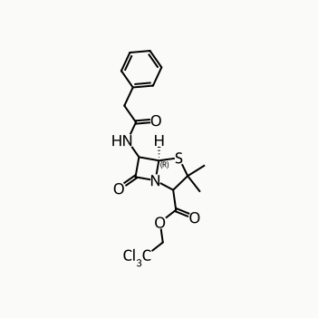 CC1(C)S[C@@H]2C(NC(=O)Cc3ccccc3)C(=O)N2C1C(=O)OCC(Cl)(Cl)Cl